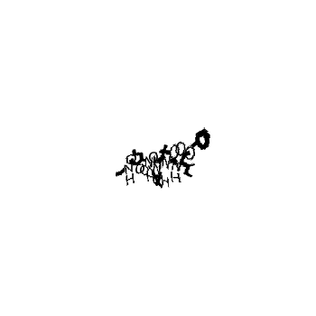 C=CCNC(=O)C(=O)C(CCC)NC(=O)[C@@H]1[C@@H]2[C@H](CN1C(=O)[C@@H](NC(=O)N[C@H](C(=O)OCc1ccccc1)[C@@H](C)CC)C(C)(C)C)C2(C)C